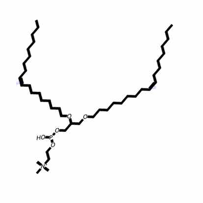 CCCCCCCC/C=C\CCCCCCCCOCC(COP(O)OCC[N+](C)(C)C)OCCCCCCCC/C=C\CCCCCCCC